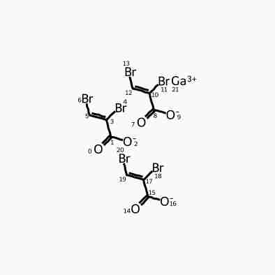 O=C([O-])/C(Br)=C/Br.O=C([O-])/C(Br)=C/Br.O=C([O-])/C(Br)=C/Br.[Ga+3]